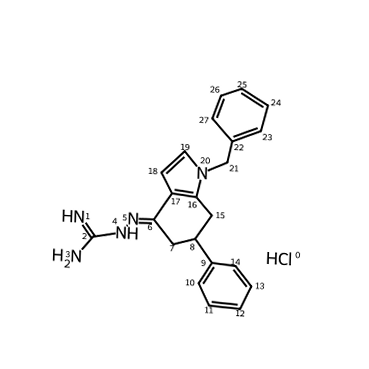 Cl.N=C(N)NN=C1CC(c2ccccc2)Cc2c1ccn2Cc1ccccc1